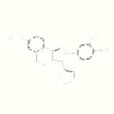 N#Cc1ccc(N2N=C3c4ccc(C(=O)O)cc4CCC3C2C2=COCC2)cc1Cl